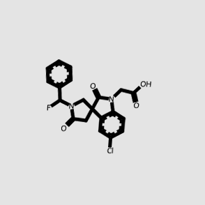 O=C(O)CN1C(=O)C2(CC(=O)N(C(F)c3ccccc3)C2)c2cc(Cl)ccc21